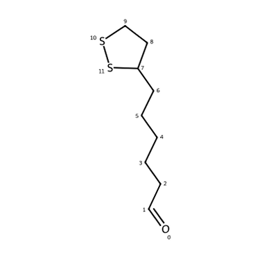 O=CCCCCCC1CCSS1